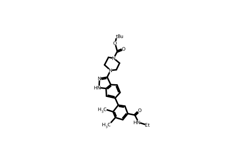 CCNC(=O)c1cc(C)c(C)c(-c2ccc3c(N4CCN(C(=O)OC(C)(C)C)CC4)n[nH]c3c2)c1